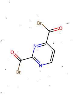 O=C(Br)c1ccnc(C(=O)Br)n1